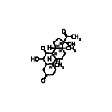 CC(=O)[C@@]1(O)CC[C@H]2[C@@H]3C(=O)C(O)C4CC(=O)CC[C@]4(C)[C@H]3CC[C@@]21C